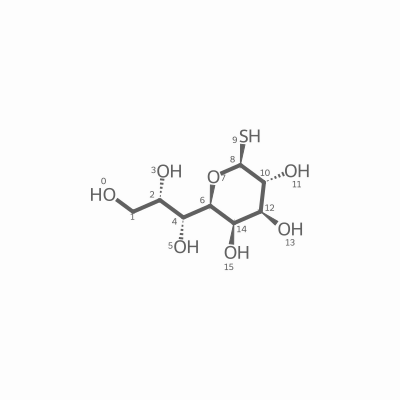 OC[C@H](O)[C@@H](O)[C@H]1O[C@@H](S)[C@H](O)[C@@H](O)[C@H]1O